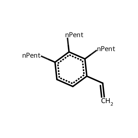 C=Cc1ccc(CCCCC)c(CCCCC)c1CCCCC